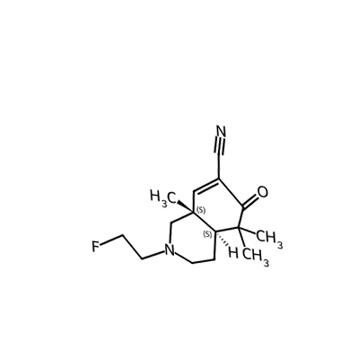 CC1(C)C(=O)C(C#N)=C[C@@]2(C)CN(CCF)CC[C@H]12